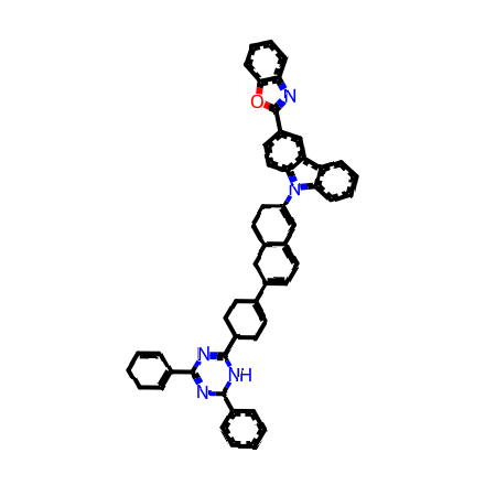 C1=CC(C2=NC(c3ccccc3)NC(C3CC=C(C4=CC=C5C=C(n6c7ccccc7c7cc(-c8nc9ccccc9o8)ccc76)CCC5C4)CC3)=N2)=CCC1